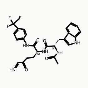 CC(=O)N[C@@H](Cc1c[nH]c2ccccc12)C(=O)N[C@@H](CCC(=O)C=N)C(=O)Nc1ccc(C(F)(F)F)cc1